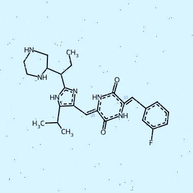 CCC(c1nc(/C=c2\[nH]c(=O)/c(=C/c3cccc(F)c3)[nH]c2=O)c(C(C)C)[nH]1)C1CNCCN1